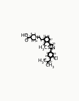 CCc1c(CCN2CCC(C(=O)O)CC2)cccc1-c1cnc(-c2ccc(CC(C)C)c(Cl)c2)s1